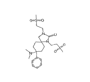 CN(C)C1(c2ccccc2)CCC2(CC1)CN(CCS(C)(=O)=O)C(=O)N2CCS(C)(=O)=O